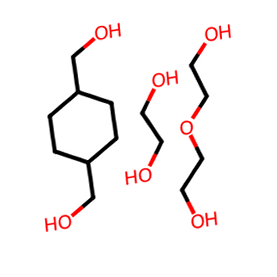 OCC1CCC(CO)CC1.OCCO.OCCOCCO